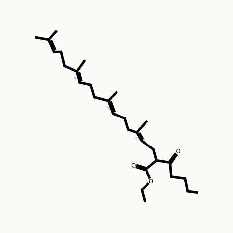 CCCCC(=O)C(C/C=C(\C)CC/C=C(\C)CC/C=C(\C)CCC=C(C)C)C(=O)OCC